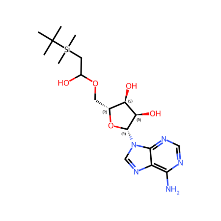 CC(C)(C)[Si](C)(C)CC(O)OC[C@H]1O[C@@H](n2cnc3c(N)ncnc32)[C@H](O)[C@@H]1O